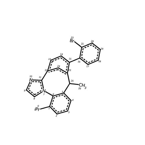 CC(C)c1cccc2c1-n1ccnc1-c1ccc(-c3ccccc3Br)c(c1)C2C